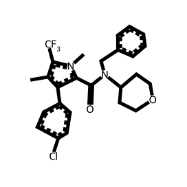 Cc1c(-c2ccc(Cl)cc2)c(C(=O)N(Cc2ccccc2)C2CCOCC2)n(C)c1C(F)(F)F